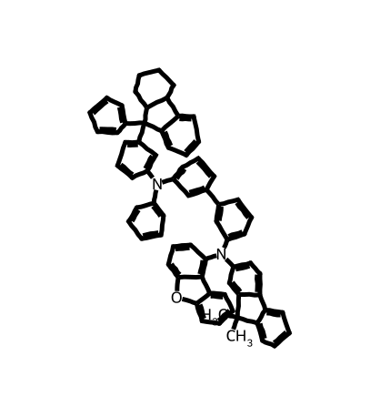 CC1(C)c2ccccc2-c2ccc(N(c3cccc(-c4cccc(N(c5ccccc5)c5cccc(C6(c7ccccc7)c7ccccc7C7CCCCC76)c5)c4)c3)c3cccc4oc5ccccc5c34)cc21